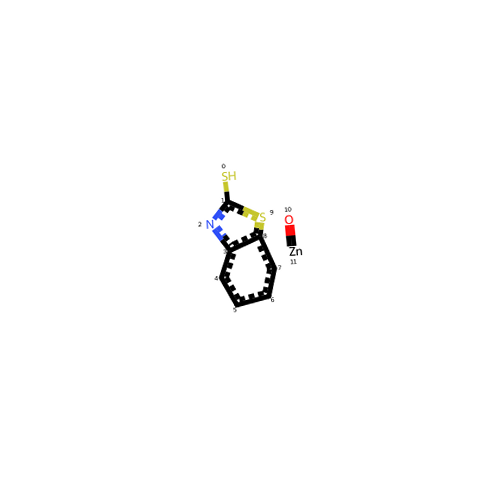 Sc1nc2ccccc2s1.[O]=[Zn]